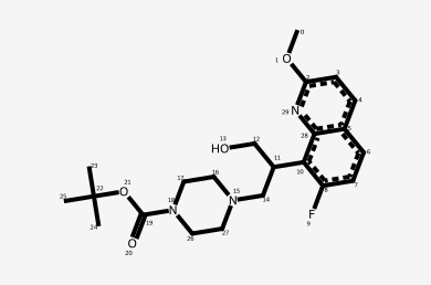 COc1ccc2ccc(F)c(C(CO)CN3CCN(C(=O)OC(C)(C)C)CC3)c2n1